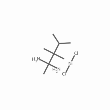 CC(C)C(C)(C)C(C)(N)N.[Cl][Ni][Cl]